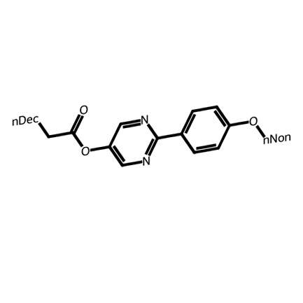 CCCCCCCCCCCC(=O)Oc1cnc(-c2ccc(OCCCCCCCCC)cc2)nc1